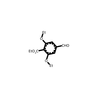 CCOC(=O)c1c(OCC)cc(C=O)cc1OCC